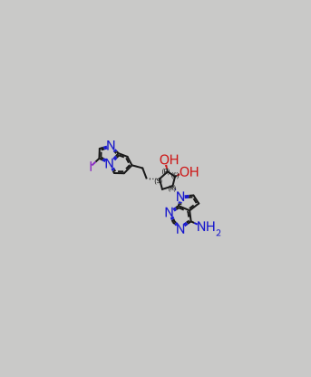 Nc1ncnc2c1ccn2[C@@H]1C[C@H](CCc2ccn3c(I)cnc3c2)[C@@H](O)[C@H]1O